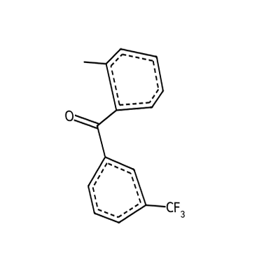 Cc1ccccc1C(=O)c1cccc(C(F)(F)F)c1